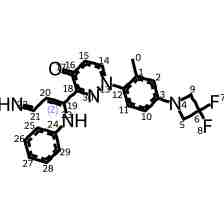 Cc1cc(N2CC(F)(F)C2)ccc1-n1ccc(=O)c(/C(=C/C=N)Nc2ccccc2)n1